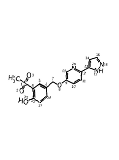 CS(=O)(=O)c1cc(COc2ccc(-c3ccn[nH]3)nc2)ccc1O